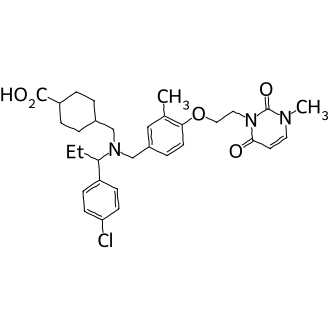 CCC(c1ccc(Cl)cc1)N(Cc1ccc(OCCn2c(=O)ccn(C)c2=O)c(C)c1)CC1CCC(C(=O)O)CC1